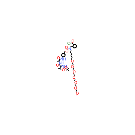 COCCOCCOCCOCCOCCOCCOCCCCCCN(Cc1ccccc1C(=O)Cl)C(=O)OCc1ccc(NC(=O)[C@H](C)NC(=O)[C@@H](NC(=O)OC(C)(C)C)C(C)C)cc1